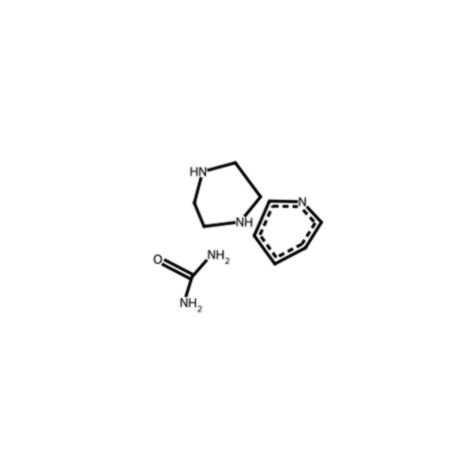 C1CNCCN1.NC(N)=O.c1ccncc1